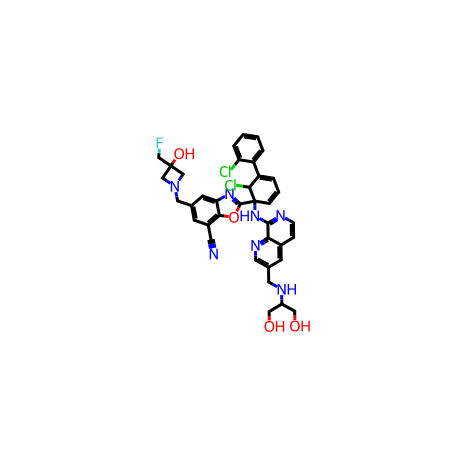 N#Cc1cc(CN2CC(O)(CF)C2)cc2nc(C3(Nc4nccc5cc(CNC(CO)CO)cnc45)C=CC=C(c4ccccc4Cl)C3Cl)oc12